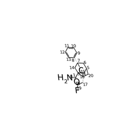 NC(=O)C12CC3C[C@](c4ccccc4)(C1)C[C@@]2(CCF)C3